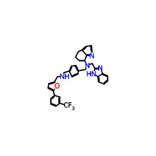 FC(F)(F)c1cccc(-c2ccc(CNCc3ccc(CN(Cc4nc5ccccc5[nH]4)C4CCCc5cccnc54)cc3)o2)c1